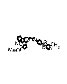 COCC[C@H]1CCC[C@@H]1C(C#N)(c1ccccc1)C1CCN(CC2CN(c3ccc(S(=O)(=O)c4ccnc(C)c4)cc3)C2)CC1